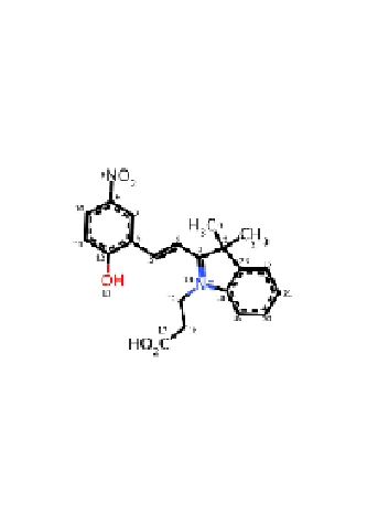 CC1(C)C(/C=C/c2cc([N+](=O)[O-])ccc2O)=[N+](CCC(=O)O)c2ccccc21